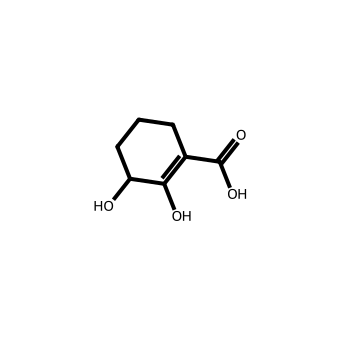 O=C(O)C1=C(O)C(O)CCC1